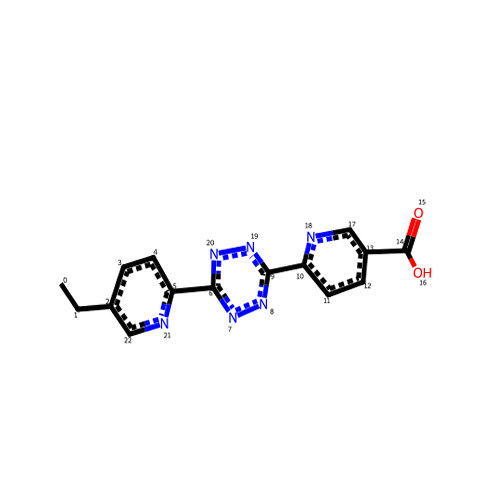 CCc1ccc(-c2nnc(-c3ccc(C(=O)O)cn3)nn2)nc1